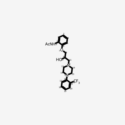 CC(=O)Nc1ccccc1OCC(O)CN1CCN(c2ccccc2C(F)(F)F)CC1